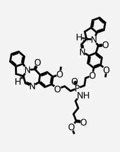 COC(=O)CCCNP(=O)(CCOc1cc2c(cc1OC)C(=O)N1c3ccccc3C[C@H]1C=N2)CCOc1cc2c(cc1OC)C(=O)N1c3ccccc3C[C@H]1C=N2